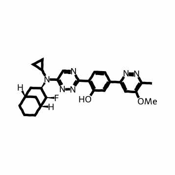 COc1cc(-c2ccc(-c3ncc(N(C4CC4)[C@@H]4C[C@H]5CCC[C@H](C5)[C@@H]4F)nn3)c(O)c2)nnc1C